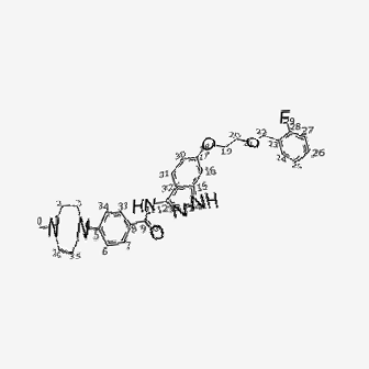 CN1CCN(c2ccc(C(=O)Nc3n[nH]c4cc(OCCOCc5ccccc5F)ccc34)cc2)CC1